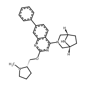 CN1CCC[C@H]1COc1nc(N2C[C@H]3CC[C@@H](C2)N3)c2ccc(-c3ccccc3)cc2n1